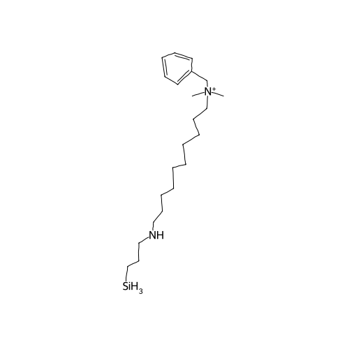 C[N+](C)(CCCCCCCCCCNCCC[SiH3])Cc1ccccc1